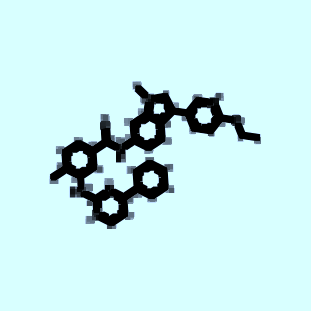 CCOc1ccc(-c2cn(C)c3cc(NC(=O)c4ccc(C)c(Nc5nccc(-c6ccccc6)n5)c4)ccc23)cn1